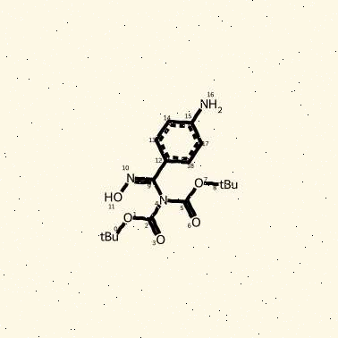 CC(C)(C)OC(=O)N(C(=O)OC(C)(C)C)C(=NO)c1ccc(N)cc1